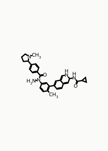 Cc1ccc(N(N)C(=O)c2ccc(C3CCCN3C)cc2)cc1-c1ccc2c(c1)=CNC(NC(=O)C1CC1)C=2